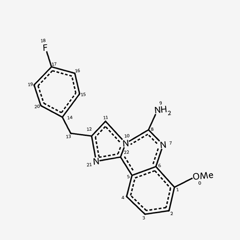 COc1cccc2c1nc(N)n1cc(Cc3ccc(F)cc3)nc21